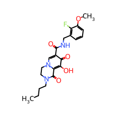 CCCCN1CCn2cc(C(=O)NCc3cccc(OC)c3F)c(=O)c(O)c2C1=O